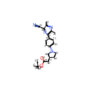 Cc1nc(C)c(-c2ccc(N3CCC(CC(=O)OC(C)(C)C)C3)cc2)nc1C#N